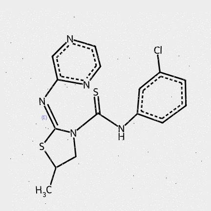 CC1CN(C(=S)Nc2cccc(Cl)c2)/C(=N\c2cnccn2)S1